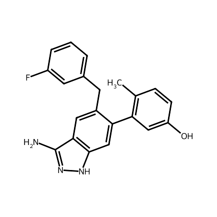 Cc1ccc(O)cc1-c1cc2[nH]nc(N)c2cc1Cc1cccc(F)c1